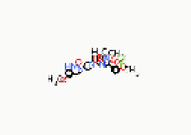 COc1ccc2c(c1)CCN(C1CCN(C(=O)CN(C=O)/C=C(\C(=O)N(C)C(C)C)c3cccc(OC)c3OC(F)(F)F)CC1)C(=O)N2